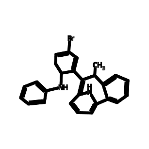 CC1C(C2=CC(Br)=CCC2Nc2ccccc2)=C2C=CC=C(N2)c2ccccc21